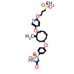 C=C1CC[C@@H](Oc2ccc(N3CC(=O)NS3(=O)=O)cc2)C/C=C\C=C/1Oc1ccc(OCCCS(C)(=O)=O)nc1